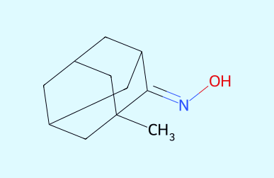 CC12CC3CC(CC(C3)/C1=N\O)C2